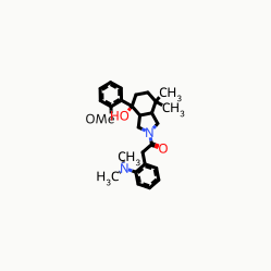 COc1ccccc1C1(O)CCC(C)(C)C2CN(C(=O)Cc3ccccc3N(C)C)CC21